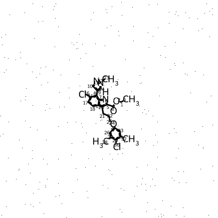 CCOC(=O)c1[nH]c2c(-c3cnn(C)c3)c(Cl)ccc2c1CCCOc1cc(C)c(Cl)c(C)c1